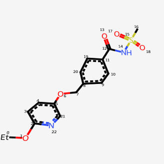 CCOc1ccc(OCc2ccc(C(=O)NS(C)(=O)=O)cc2)cn1